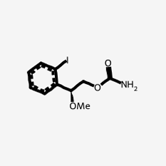 CO[C@H](COC(N)=O)c1ccccc1I